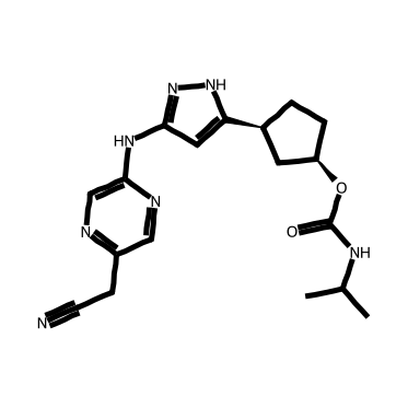 CC(C)NC(=O)O[C@@H]1CC[C@H](c2cc(Nc3cnc(CC#N)cn3)n[nH]2)C1